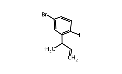 [CH2]C(C=C)c1cc(Br)ccc1I